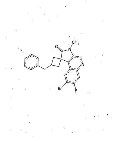 CN1C(=O)C2(CC(Cc3ccccc3)C2)c2c1cnc1cc(F)c(Br)cc21